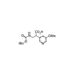 COc1cncc(C(CNC(=O)OC(C)(C)C)C(=O)O)c1